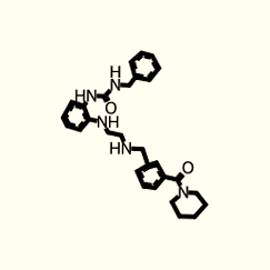 O=C(NCc1ccccc1)Nc1ccccc1NCCNCc1cccc(C(=O)N2CCCCC2)c1